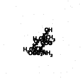 C[N+](C)(C)CCO.C[N+](C)(C)CCO.NC(CCC(=O)[O-])C(=O)[O-]